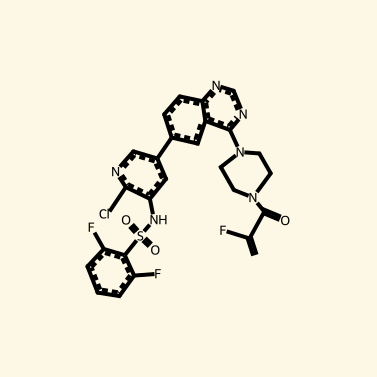 C=C(F)C(=O)N1CCN(c2ncnc3ccc(-c4cnc(Cl)c(NS(=O)(=O)c5c(F)cccc5F)c4)cc23)CC1